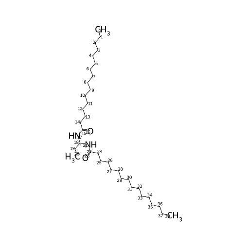 CCCCCCCCCCCCCCCC(=O)N[C](CC)NC(=O)CCCCCCCCCCCCCCC